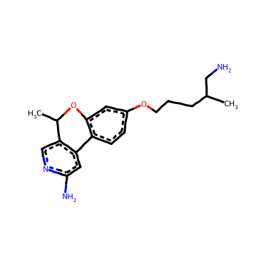 CC(CN)CCCOc1ccc2c(c1)OC(C)c1cnc(N)cc1-2